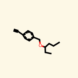 C#Cc1ccc(COC(CC)CCC)cc1